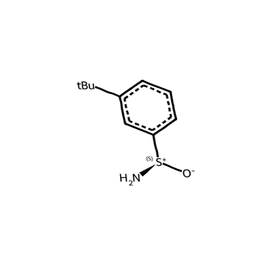 CC(C)(C)c1cccc([S@+](N)[O-])c1